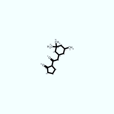 CC1CC(CC(=O)C2CCCC2=O)CC(C)(C)C1